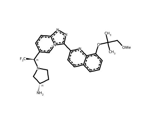 COCC(C)(C)Oc1cccc2ccc(-c3nnc4ccc([C@@H](N5CC[C@H](N)C5)C(F)(F)F)cn34)nc12